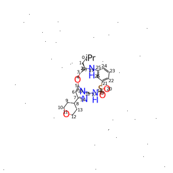 CC(C)C[C@@H]1COc2cc(C3CCOCC3)nc(n2)NS(=O)(=O)c2cccc(c2)N1